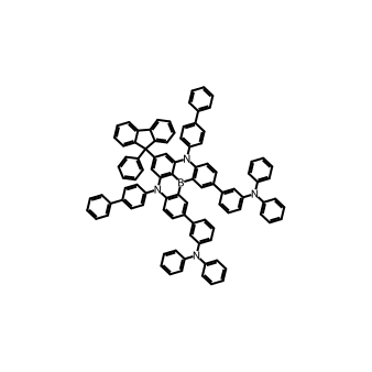 c1ccc(-c2ccc(N3c4ccc(-c5cccc(N(c6ccccc6)c6ccccc6)c5)cc4B4c5cc(-c6cccc(N(c7ccccc7)c7ccccc7)c6)ccc5N(c5ccc(-c6ccccc6)cc5)c5cc(C6(c7ccccc7)c7ccccc7-c7ccccc76)cc3c54)cc2)cc1